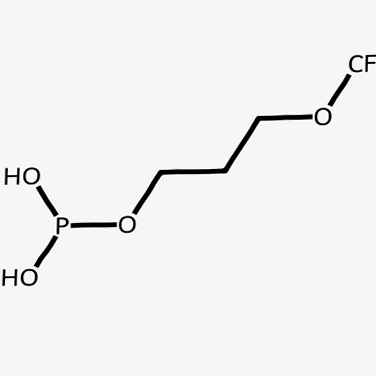 OP(O)OCCCOC(F)(F)F